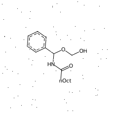 CCCCCCCCC(=O)NC(OCO)c1ccccc1